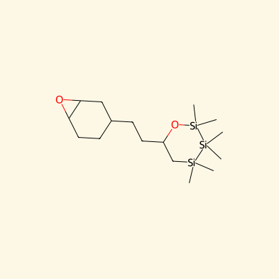 C[Si]1(C)CC(CCC2CCC3OC3C2)O[Si](C)(C)[Si]1(C)C